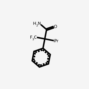 CC(C)C(C(N)=O)(c1ccccc1)C(F)(F)F